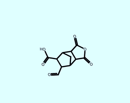 O=CC1C2CC(C1C(=O)O)C1C(=O)OC(=O)C21